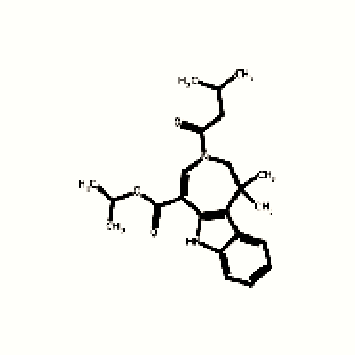 CC(C)CC(=O)N1C=C(C(=O)OC(C)C)c2[nH]c3ccccc3c2C(C)(C)C1